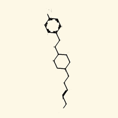 N#Cc1ccc(CCC2CCC(CCC=CCF)CC2)cc1